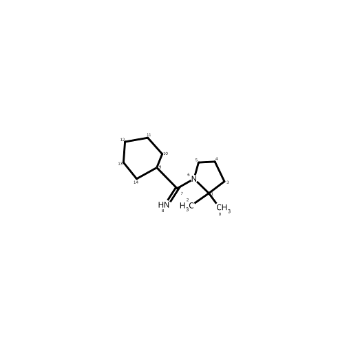 CC1(C)CCCN1C(=N)C1CCCCC1